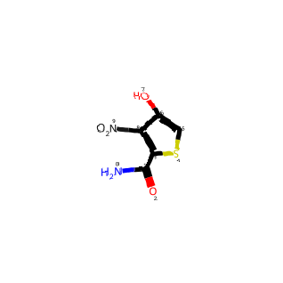 NC(=O)c1scc(O)c1[N+](=O)[O-]